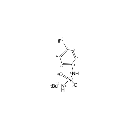 CC(C)c1ccc(NS(=O)(=O)NC(C)(C)C)cc1